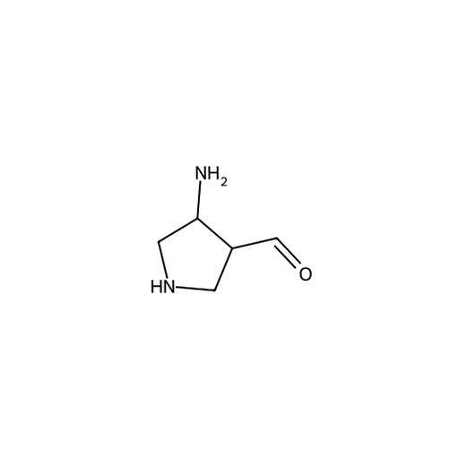 NC1CNCC1C=O